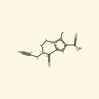 Cc1c(C(=O)O)cc2n1CCN(CC#N)C2=O